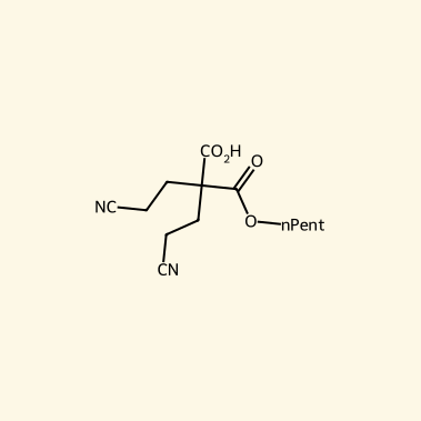 CCCCCOC(=O)C(CCC#N)(CCC#N)C(=O)O